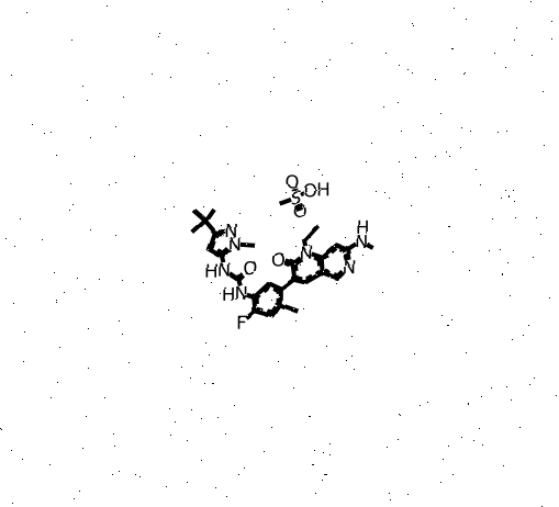 CCn1c(=O)c(-c2cc(NC(=O)Nc3cc(C(C)(C)C)nn3C)c(F)cc2C)cc2cnc(NC)cc21.CS(=O)(=O)O